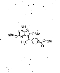 CCCCOc1nc(N)c2nc(OC)n(C(C)C3CCN(C(=O)OC(C)(C)C)CC3)c2n1